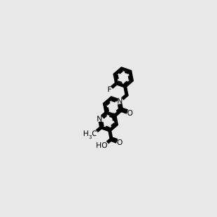 Cc1nc2ccn(Cc3ccccc3F)c(=O)c2cc1C(=O)O